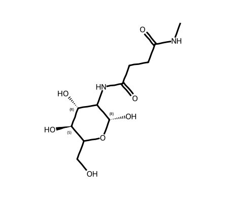 CNC(=O)CCC(=O)NC1[C@H](O)OC(CO)[C@@H](O)[C@@H]1O